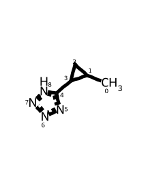 CC1CC1c1nnn[nH]1